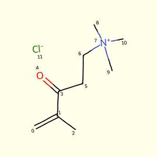 C=C(C)C(=O)CC[N+](C)(C)C.[Cl-]